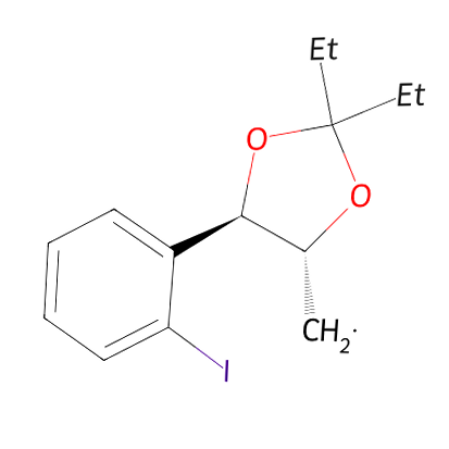 [CH2][C@H]1OC(CC)(CC)O[C@@H]1c1ccccc1I